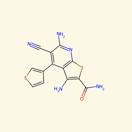 N#Cc1c(N)nc2sc(C(N)=O)c(N)c2c1-c1ccsc1